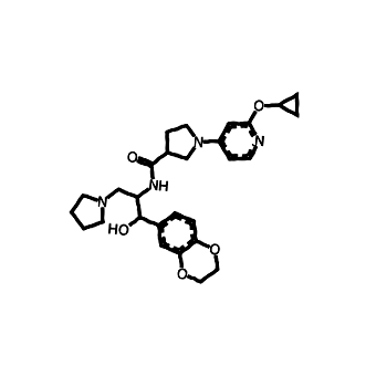 O=C(NC(CN1CCCC1)C(O)c1ccc2c(c1)OCCO2)C1CCN(c2ccnc(OC3CC3)c2)C1